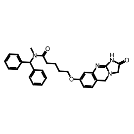 CN(C(=O)CCCCOc1ccc2c(c1)N=C1NC(=O)CN1C2)C(c1ccccc1)c1ccccc1